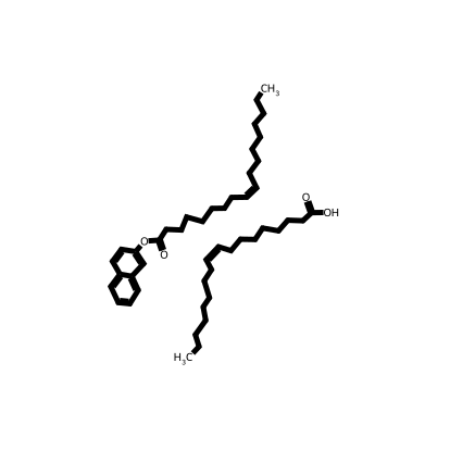 CCCCCCCC/C=C\CCCCCCCC(=O)O.CCCCCCCC/C=C\CCCCCCCC(=O)Oc1ccc2ccccc2c1